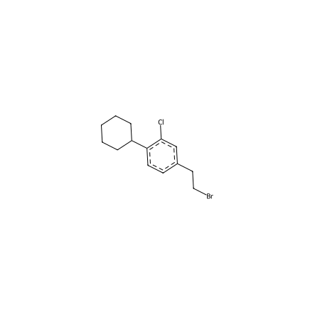 Clc1cc(CCBr)ccc1C1CCCCC1